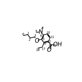 CCCCOc1c(N(C)C)ccc(C(=O)O)c1CC